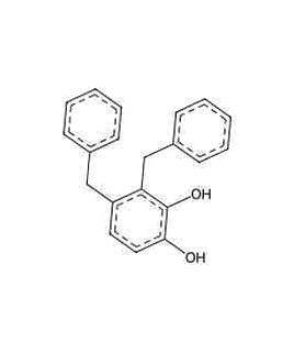 Oc1ccc(Cc2ccccc2)c(Cc2ccccc2)c1O